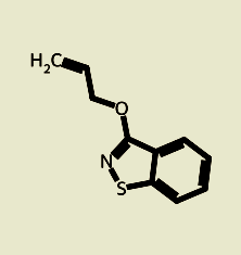 C=CCOc1nsc2ccccc12